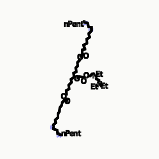 CCCCC/C=C\C/C=C\CCCCCCCCC(=O)OCCCCCCC(CCCCCCOC(=O)CCCCCCC/C=C\C/C=C\CCCCC)OCC(=O)OCCN(CC)CCN(CC)CC